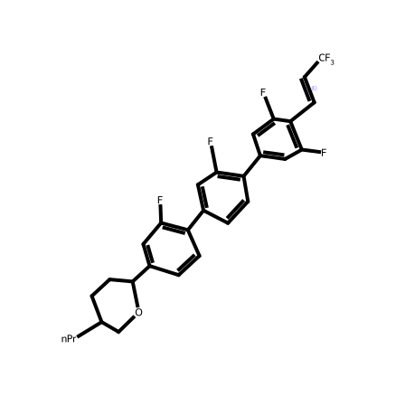 CCCC1CCC(c2ccc(-c3ccc(-c4cc(F)c(/C=C/C(F)(F)F)c(F)c4)c(F)c3)c(F)c2)OC1